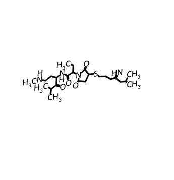 CCC(C(=O)NC(CCNC)C(=O)C(C)C)N1C(=O)CC(SCCCC(=N)CC(C)C)C1=O